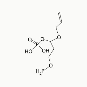 C=CCOC(CCOP)OP(=O)(O)O